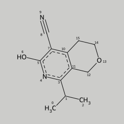 CC(C)c1nc(O)c(C#N)c2c1COCC2